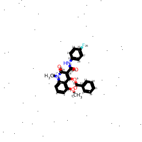 COc1cccc2c1c(OC(=O)c1ccccc1)c(C(=O)Nc1ccc(F)cc1)c(=O)n2C